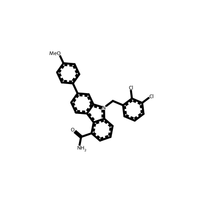 COc1ccc(-c2c[c]c3c4c(C(N)=O)cccc4n(Cc4cccc(Cl)c4Cl)c3c2)cc1